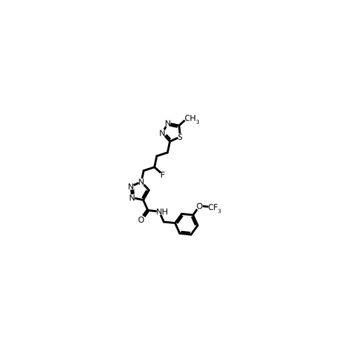 Cc1nnc(CCC(F)Cn2cc(C(=O)NCc3cccc(OC(F)(F)F)c3)nn2)s1